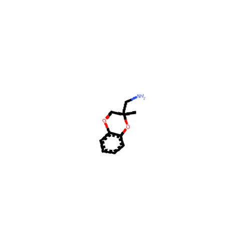 CC1(CN)COc2ccccc2O1